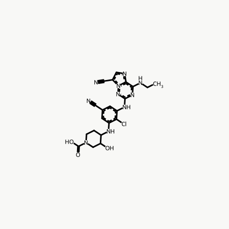 CCNc1nc(Nc2cc(C#N)cc(NC3CCN(C(=O)O)CC3O)c2Cl)nn2c(C#N)cnc12